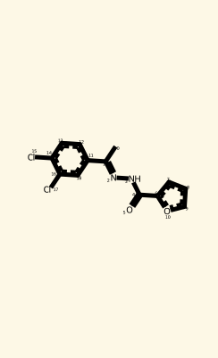 C/C(=N\NC(=O)c1ccco1)c1ccc(Cl)c(Cl)c1